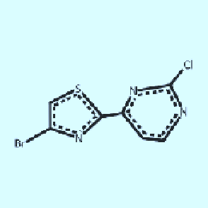 Clc1nccc(-c2nc(Br)cs2)n1